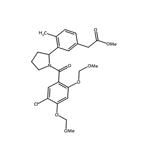 COCOc1cc(OCOC)c(C(=O)N2CCCC2c2cc(CC(=O)OC)ccc2C)cc1Cl